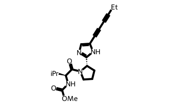 CCC#CC#Cc1cnc([C@@H]2CCCN2C(=O)[C@@H](NC(=O)OC)C(C)C)[nH]1